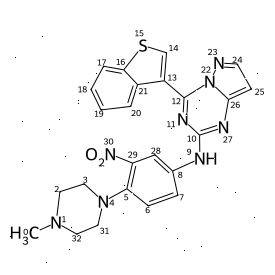 CN1CCN(c2ccc(Nc3nc(-c4csc5ccccc45)n4nccc4n3)cc2[N+](=O)[O-])CC1